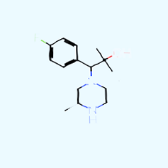 C[C@@H]1CN[C@@H](C)CN1C(c1ccc(F)cc1)C(C)(C)O